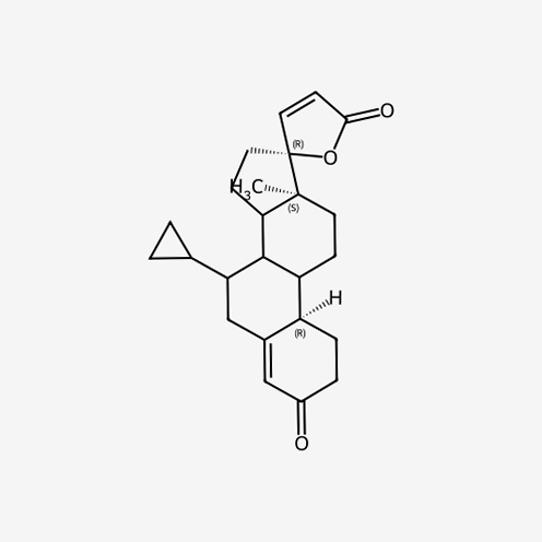 C[C@]12CCC3C(C(C4CC4)CC4=CC(=O)CC[C@@H]43)C1CC[C@@]21C=CC(=O)O1